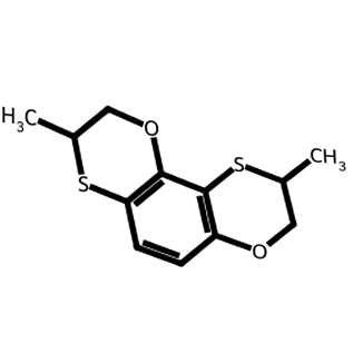 CC1COc2c(ccc3c2SC(C)CO3)S1